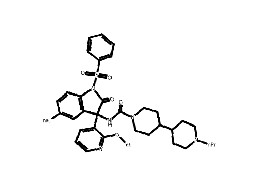 CCCN1CCC(C2CCN(C(=O)NC3(c4cccnc4OCC)C(=O)N(S(=O)(=O)c4ccccc4)c4ccc(C#N)cc43)CC2)CC1